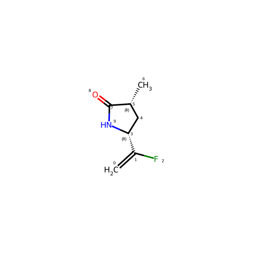 C=C(F)[C@H]1C[C@@H](C)C(=O)N1